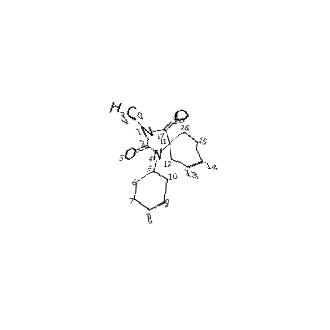 CN1C(=O)N(C2CCCCC2)C2(CCCCC2)C1=O